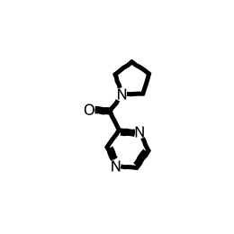 O=C(c1cnccn1)N1CCCC1